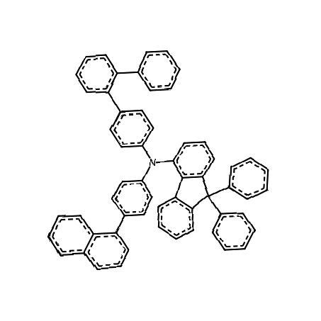 c1ccc(-c2ccccc2-c2ccc(N(c3ccc(-c4cccc5ccccc45)cc3)c3cccc4c3-c3ccccc3C4(c3ccccc3)c3ccccc3)cc2)cc1